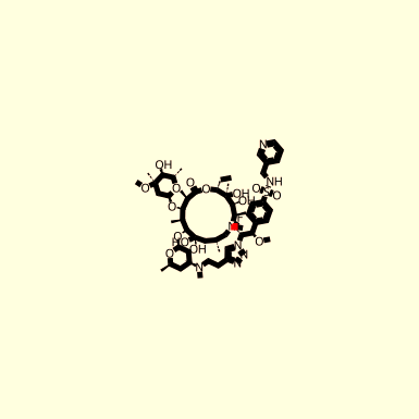 CC[C@H]1OC(=O)[C@H](C)[C@@H](O[C@H]2C[C@@](C)(OC)[C@@H](O)[C@H](C)O2)[C@H](C)[C@@H](O[C@@H]2O[C@H](C)C[C@H](N(C)CCc3cn([C@H](CF)[C@H](OC)c4ccc(S(=O)(=O)NCc5cccnc5)cc4)nn3)[C@H]2O)[C@](C)(O)C[C@@H](C)CN(C)[C@H](C)[C@@H](O)[C@]1(C)O